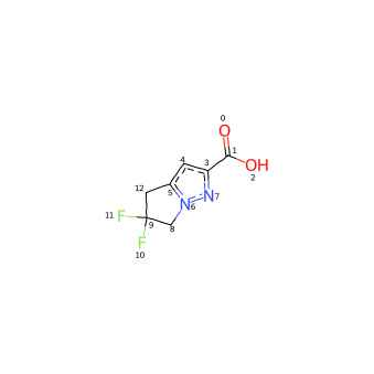 O=C(O)c1cc2n(n1)CC(F)(F)C2